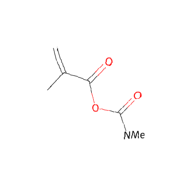 C=C(C)C(=O)OC(=O)NC